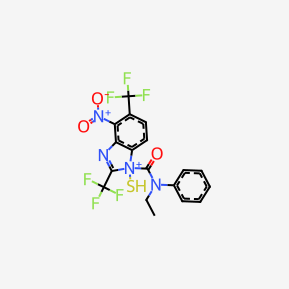 CCN(C(=O)[N+]1(S)C(C(F)(F)F)=Nc2c1ccc(C(F)(F)F)c2[N+](=O)[O-])c1ccccc1